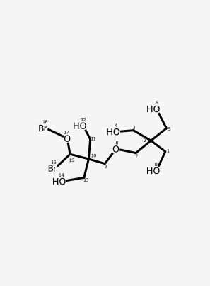 OCC(CO)(CO)COCC(CO)(CO)C(Br)OBr